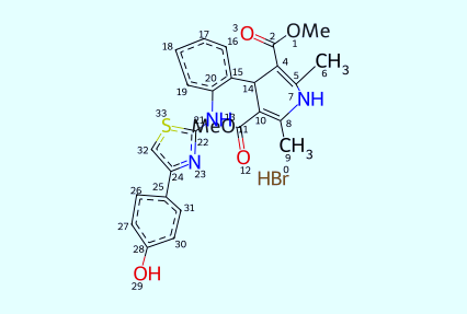 Br.COC(=O)C1=C(C)NC(C)=C(C(=O)OC)C1c1ccccc1Nc1nc(-c2ccc(O)cc2)cs1